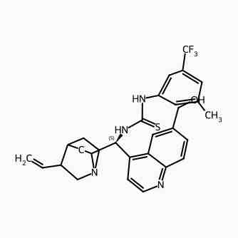 C=CC1CN2CCC1CC2[C@@H](NC(=S)Nc1cc(C)cc(C(F)(F)F)c1)c1ccnc2ccc(CO)cc12